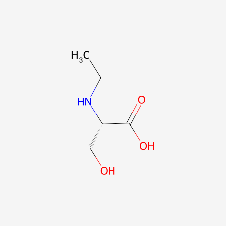 CCN[C@@H](CO)C(=O)O